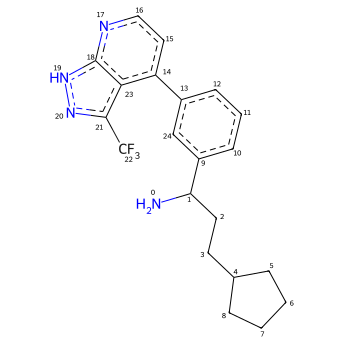 NC(CCC1CCCC1)c1cccc(-c2ccnc3[nH]nc(C(F)(F)F)c23)c1